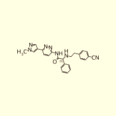 Cn1cc(-c2ccc(NC(=O)[C@@H](NCCc3ccc(C#N)cc3)c3ccccc3)nn2)cn1